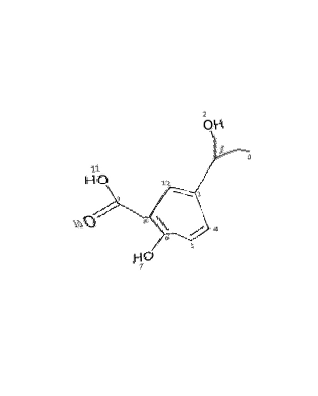 CC(O)c1ccc(O)c(C(=O)O)c1